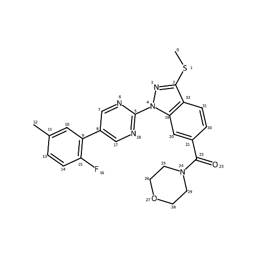 CSc1nn(-c2ncc(-c3cc(C)ccc3F)cn2)c2cc(C(=O)N3CCOCC3)ccc12